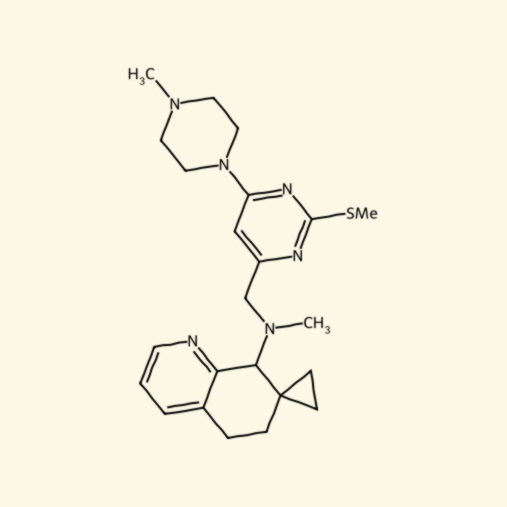 CSc1nc(CN(C)C2c3ncccc3CCC23CC3)cc(N2CCN(C)CC2)n1